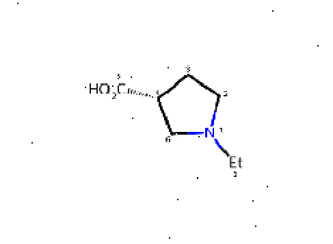 CCN1CC[C@@H](C(=O)O)C1